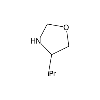 CC(C)C1CO[CH]N1